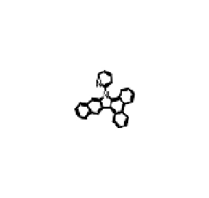 c1ccc(-n2c3cc4ccccc4cc3c3c4ccccc4c4ccccc4c32)nc1